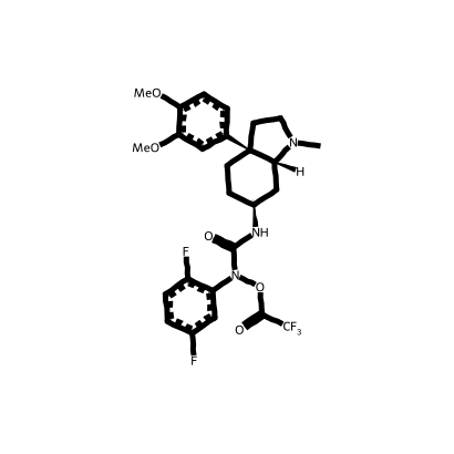 COc1ccc([C@]23CC[C@H](NC(=O)N(OC(=O)C(F)(F)F)c4cc(F)ccc4F)C[C@H]2N(C)CC3)cc1OC